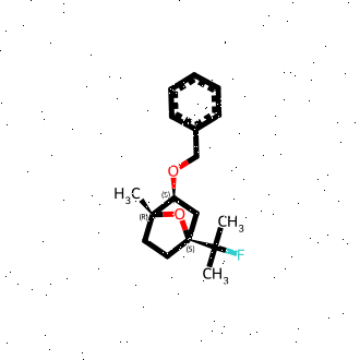 CC(C)(F)[C@@]12CC[C@@](C)(O1)[C@@H](OCc1ccccc1)C2